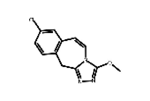 COc1nnc2n1C=Cc1cc(Cl)ccc1C2